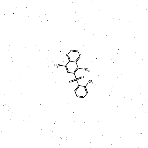 Nc1cc(S(=O)(=O)c2ccccc2C(F)(F)F)c([N+](=O)[O-])c2cccnc12